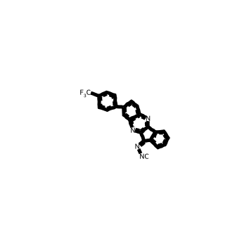 [C-]#[N+]/N=C1\c2ccccc2-c2nc3ccc(-c4ccc(C(F)(F)F)cc4)cc3nc21